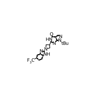 CC(C)(C)n1ncc2c(=O)[nH]c(C3CN(c4nc5cc(C(F)(F)F)ccc5[nH]4)C3)nc21